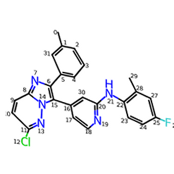 Cc1cccc(-c2nc3ccc(Cl)nn3c2-c2ccnc(Nc3ccc(F)cc3C)c2)c1